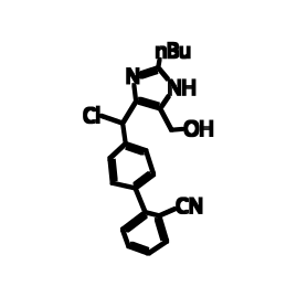 CCCCc1nc(C(Cl)c2ccc(-c3ccccc3C#N)cc2)c(CO)[nH]1